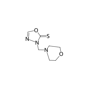 S=c1ocnn1CN1CCOCC1